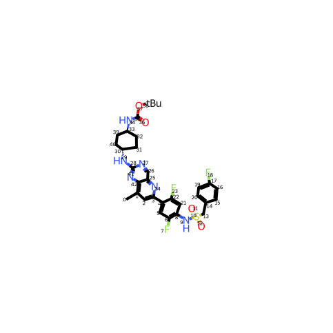 Cc1cc(-c2cc(F)c(NS(=O)(=O)Cc3ccc(F)cc3)cc2F)nc2cnc(N[C@H]3CC[C@H](NC(=O)OC(C)(C)C)CC3)nc12